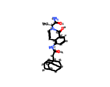 CC(C)[C@H](C(N)=O)n1ccc2c(NC(=O)CC34CC5CC(CC(C5)C3)C4)cccc2c1=O